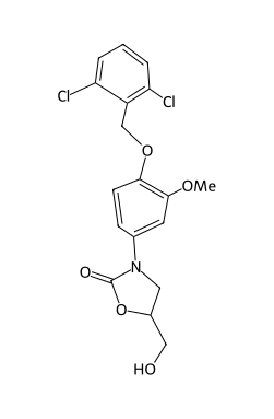 COc1cc(N2CC(CO)OC2=O)ccc1OCc1c(Cl)cccc1Cl